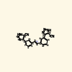 N#Cc1[nH]nnc1-c1cccc(/C=C/c2cccc(-c3nn[nH]c3C#N)c2)c1